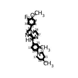 COc1ccc(-c2cnc3c(Nc4ccc(N5CCC(C)CC5)c(C)c4)nccn23)cc1F